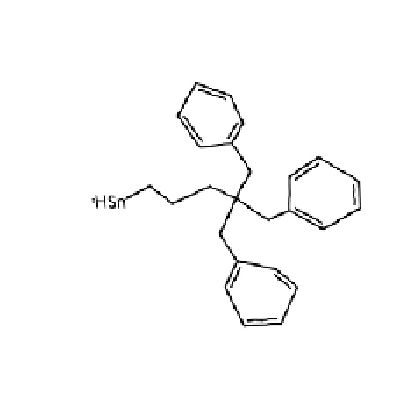 [SnH][CH2]CCC(Cc1ccccc1)(Cc1ccccc1)Cc1ccccc1